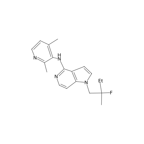 CCC(C)(F)Cn1ccc2c(Nc3c(C)ccnc3C)nccc21